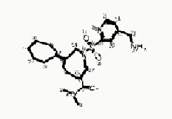 CN(C)C(=O)[C@H]1CC(C2CCCCC2)CN(S(=O)(=O)c2cc(CN)ccn2)C1